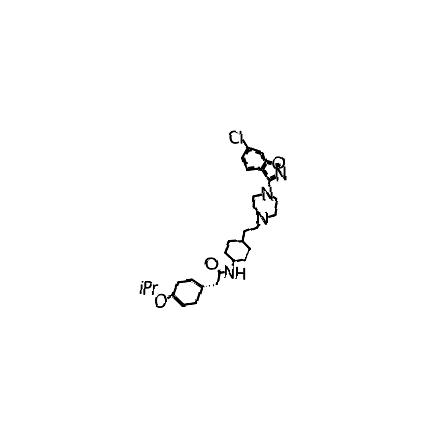 CC(C)O[C@H]1CC[C@H](CC(=O)NC2CCC(CCN3CCN(c4noc5cc(Cl)ccc45)CC3)CC2)CC1